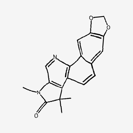 CN1C(=O)C(C)(C)c2c1cnc1c2ccc2cc3c(cc21)OCO3